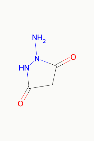 NN1NC(=O)CC1=O